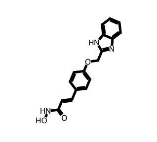 O=C(/C=C/c1ccc(OCc2nc3ccccc3[nH]2)cc1)NO